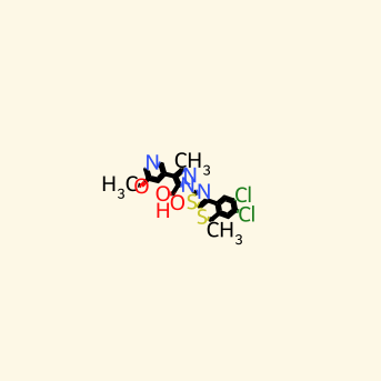 COc1cncc(-c2c(C)nn(-c3nc4c(s3)SC(C)c3cc(Cl)c(Cl)cc3-4)c2C(=O)O)c1